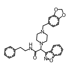 O=C(NCCc1ccccc1)C(c1noc2ccccc12)N1CCN(Cc2ccc3c(c2)OCO3)CC1